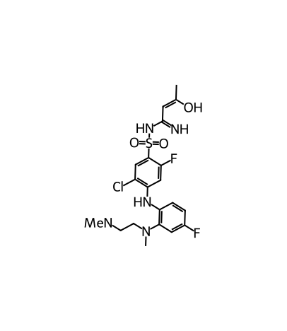 CNCCN(C)c1cc(F)ccc1Nc1cc(F)c(S(=O)(=O)NC(=N)/C=C(/C)O)cc1Cl